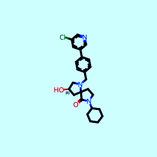 O=C1N(C2CCCCC2)CCC12C[C@@H](O)CN2Cc1ccc(-c2cncc(Cl)c2)cc1